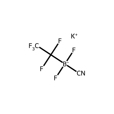 N#C[B-](F)(F)C(F)(F)C(F)(F)F.[K+]